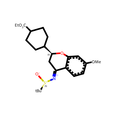 CCOC(=O)C1CCC([C@@H]2C/C(=N\[S@+]([O-])C(C)(C)C)c3ccc(OC)cc3O2)CC1